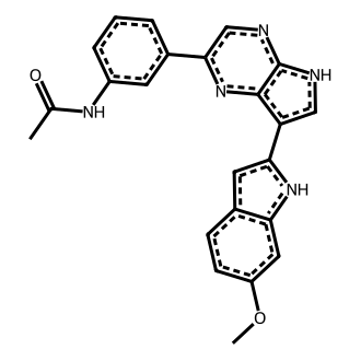 COc1ccc2cc(-c3c[nH]c4ncc(-c5cccc(NC(C)=O)c5)nc34)[nH]c2c1